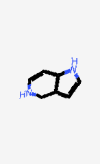 C1=CC2NC=CC2CN1